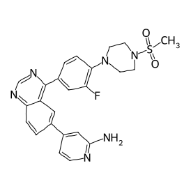 CS(=O)(=O)N1CCN(c2ccc(-c3ncnc4ccc(-c5ccnc(N)c5)cc34)cc2F)CC1